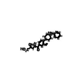 O=C(NC[C@H](O)C(=O)O)c1ccc(N2CCC(Nc3ncccn3)CC2)c(F)c1